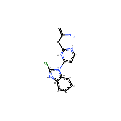 C=C(N)Cc1nccc(-n2c(Cl)nc3ccccc32)n1